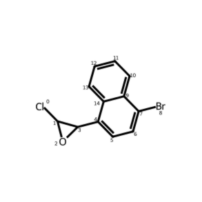 ClC1OC1c1ccc(Br)c2ccccc12